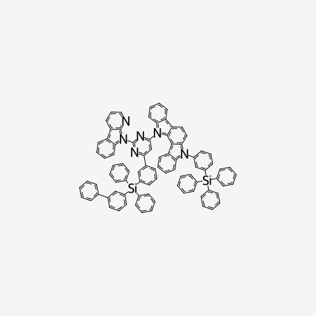 c1ccc(-c2cccc([Si](c3ccccc3)(c3ccccc3)c3cccc(-c4cc(-n5c6ccccc6c6ccc7c(c8ccccc8n7-c7cccc([Si](c8ccccc8)(c8ccccc8)c8ccccc8)c7)c65)nc(-n5c6ccccc6c6cccnc65)n4)c3)c2)cc1